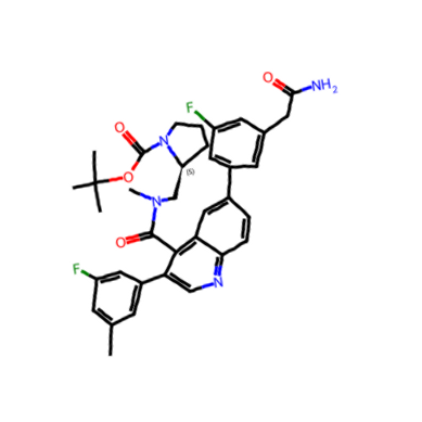 Cc1cc(F)cc(-c2cnc3ccc(-c4cc(F)cc(CC(N)=O)c4)cc3c2C(=O)N(C)C[C@@H]2CCCN2C(=O)OC(C)(C)C)c1